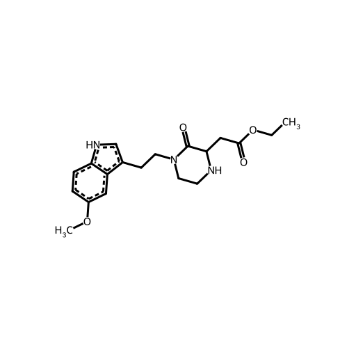 CCOC(=O)CC1NCCN(CCc2c[nH]c3ccc(OC)cc23)C1=O